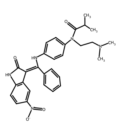 CC(C)C(=O)N(CCN(C)C)c1ccc(N/C(=C2\C(=O)Nc3ccc([N+](=O)[O-])cc32)c2ccccc2)cc1